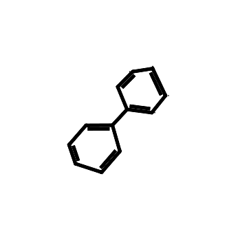 [c]1[c][c]c(-c2ccccc2)c[c]1